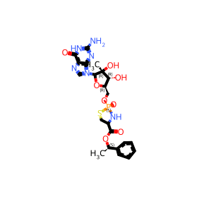 C[C@H](OC(=O)C1CS[P@@](=O)(OC[C@H]2OC(n3cnc4c(=O)[nH]c(N)nc43)[C@](C)(O)[C@@H]2O)N1)c1ccccc1